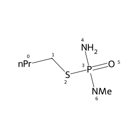 CCCCSP(N)(=O)NC